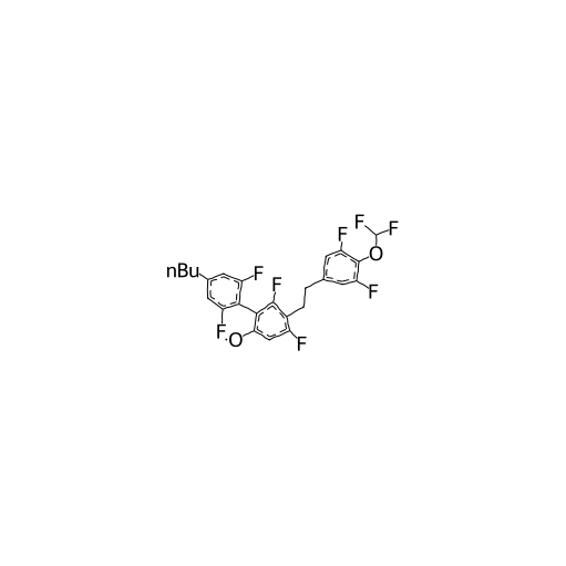 CCCCc1cc(F)c(-c2c([O])cc(F)c(CCc3cc(F)c(OC(F)F)c(F)c3)c2F)c(F)c1